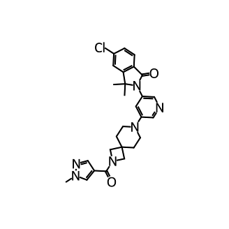 Cn1cc(C(=O)N2CC3(CCN(c4cncc(N5C(=O)c6ccc(Cl)cc6C5(C)C)c4)CC3)C2)cn1